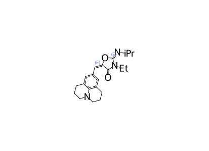 CCN1C(=O)/C(=C\c2cc3c4c(c2)CCCN4CCC3)O/C1=N/C(C)C